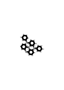 c1ccc(N2c3cccc4c3B3c5c(cccc5N(c5ccccc5)c5cccc2c53)S4)cc1